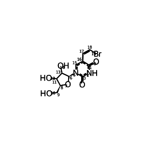 O=c1[nH]c(=O)n([C@H]2O[C@@H](CO)C(O)C2O)cc1/C=C\Br